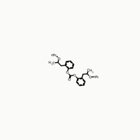 CCCOC(C)Cc1ccccc1OC(=O)Oc1ccccc1CC(C)OCCC